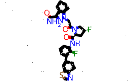 NC(=O)c1nn(CC(=O)N2C[C@H](F)C[C@H]2C(=O)Nc2cccc(-c3ccc4ncsc4c3)c2F)c2ccccc12